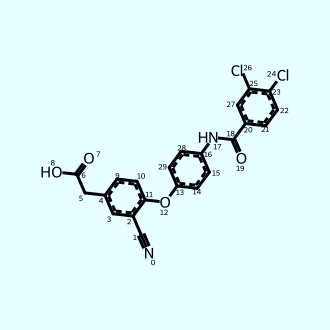 N#Cc1cc(CC(=O)O)ccc1Oc1ccc(NC(=O)c2ccc(Cl)c(Cl)c2)cc1